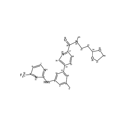 Cc1cc(Nc2nccc(C(F)(F)F)n2)cc(-c2ccc(C(=O)N(C)CCC3OCCO3)nc2)c1